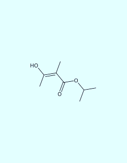 CC(O)=C(C)C(=O)OC(C)C